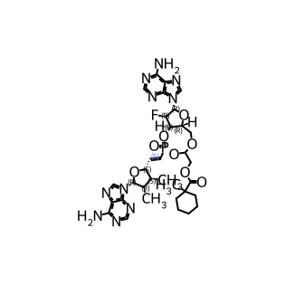 C[C@@H]1[C@H](C)[C@@H](/C=C/P2(=O)OC(COC(=O)C3(C)CCCCC3)OC[C@H]3O[C@@H](n4cnc5c(N)ncnc54)[C@H](F)[C@@H]3O2)O[C@H]1n1cnc2c(N)ncnc21